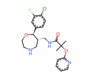 CC(C)(Oc1ccccn1)C(=O)NC[C@@H]1CNCCO[C@H]1c1ccc(Cl)c(F)c1